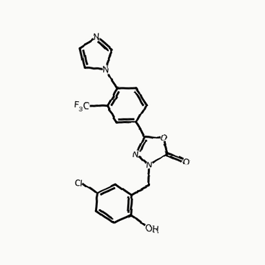 O=c1oc(-c2ccc(-n3ccnc3)c(C(F)(F)F)c2)nn1Cc1cc(Cl)ccc1O